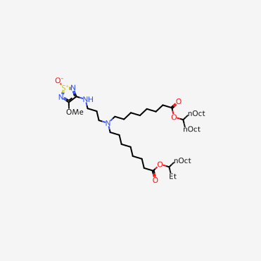 CCCCCCCCC(CC)OC(=O)CCCCCCCN(CCCCCCCC(=O)OC(CCCCCCCC)CCCCCCCC)CCCNc1n[s+]([O-])nc1OC